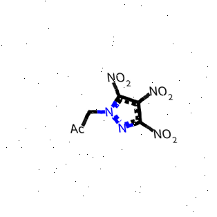 CC(=O)Cn1nc([N+](=O)[O-])c([N+](=O)[O-])c1[N+](=O)[O-]